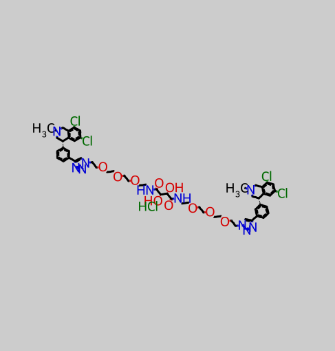 CN1Cc2c(Cl)cc(Cl)cc2[C@H](c2cccc(-c3cn(CCOCCOCCOCCNC(=O)[C@H](O)[C@@H](O)C(=O)NCCOCCOCCOCCn4cc(-c5cccc([C@@H]6CN(C)Cc7c(Cl)cc(Cl)cc76)c5)nn4)nn3)c2)C1.Cl